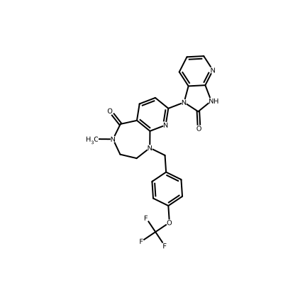 CN1CCN(Cc2ccc(OC(F)(F)F)cc2)c2nc(-n3c(=O)[nH]c4ncccc43)ccc2C1=O